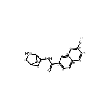 O=C(NC1CC2CNC1C2)c1ccc2ccc(Cl)cc2c1